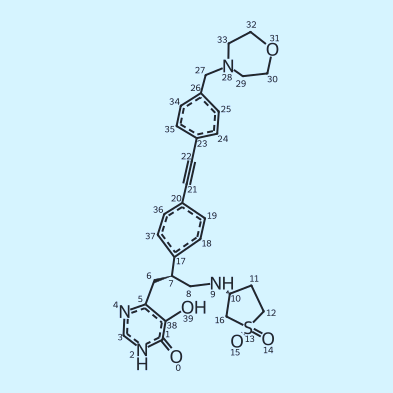 O=c1[nH]cnc(C[C@H](CN[C@@H]2CCS(=O)(=O)C2)c2ccc(C#Cc3ccc(CN4CCOCC4)cc3)cc2)c1O